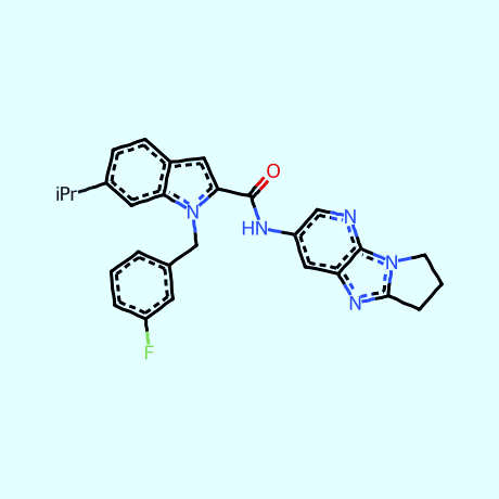 CC(C)c1ccc2cc(C(=O)Nc3cnc4c(c3)nc3n4CCC3)n(Cc3cccc(F)c3)c2c1